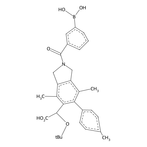 Cc1ccc(-c2c(C)c3c(c(C)c2C(OC(C)(C)C)C(=O)O)CN(C(=O)c2cccc(B(O)O)c2)C3)cc1